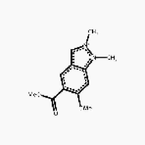 COC(=O)c1cc2c[n+](C)n(C)c2cc1OC